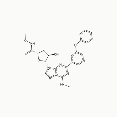 CNc1nc(-c2cncc(Oc3ccccc3)c2)nc2c1ncn2[C@@H]1O[C@H](C(=O)NOC)C[C@H]1O